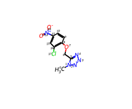 Cn1nnnc1COc1ccc([N+](=O)[O-])cc1Cl